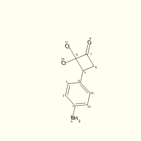 Bc1ccc(C2CC(=O)C2(Cl)Cl)cc1